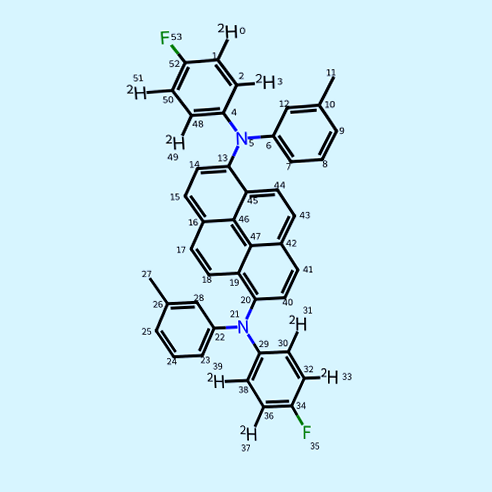 [2H]c1c([2H])c(N(c2cccc(C)c2)c2ccc3ccc4c(N(c5cccc(C)c5)c5c([2H])c([2H])c(F)c([2H])c5[2H])ccc5ccc2c3c54)c([2H])c([2H])c1F